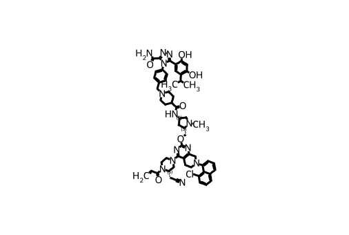 C=CC(=O)N1CCN(c2nc(OC[C@@H]3C[C@@H](NC(=O)C4CCN(Cc5ccc(-n6c(C(N)=O)nnc6-c6cc(C(C)C)c(O)cc6O)cc5)CC4)CN3C)nc3c2CCN(c2cccc4cccc(Cl)c24)C3)C[C@@H]1CC#N